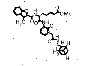 COC(=O)/C=C/CC[C@H](NC(=O)c1oc2ccccc2c1C)C(=O)Nc1cccn(CC(=O)NC[C@@H]2CC[C@H]3C[C@@H]2C3(C)C)c1=O